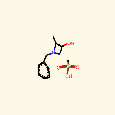 CC1C(O)CN1Cc1ccccc1.CS(=O)(=O)O